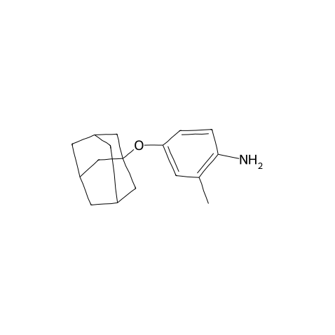 Cc1cc(OC23CC4CC(CC(C4)C2)C3)ccc1N